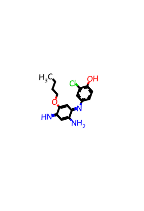 CCCCOC1=CC(=Nc2ccc(O)c(Cl)c2)C(N)=CC1=N